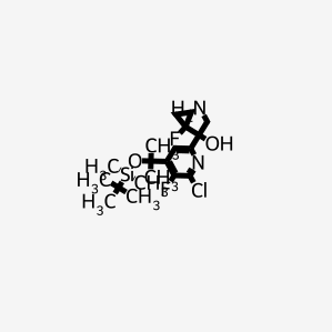 CC(C)(O[Si](C)(C)C(C)(C)C)c1cc(C(O)(CN)C2(F)CC2)nc(Cl)c1F